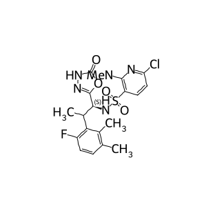 CNc1nc(Cl)ccc1S(=O)(=O)N[C@H](c1n[nH]c(=O)o1)C(C)c1c(F)ccc(C)c1C